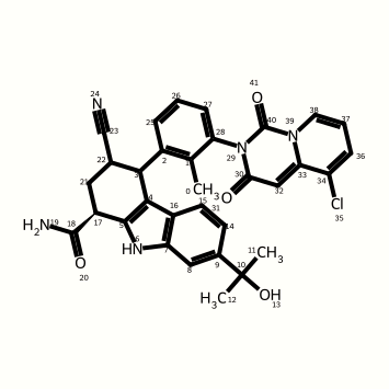 Cc1c(C2c3c([nH]c4cc(C(C)(C)O)ccc34)[C@@H](C(N)=O)CC2C#N)cccc1-n1c(=O)cc2c(Cl)cccn2c1=O